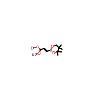 CCOC(/C=C/B1OCC(C)(C)C(C)(C)O1)OCC